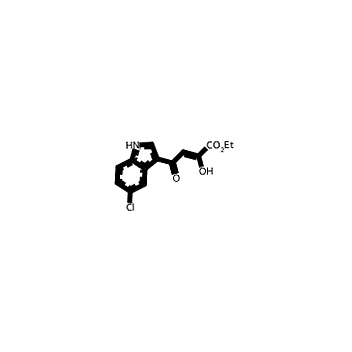 CCOC(=O)C(O)=CC(=O)c1c[nH]c2ccc(Cl)cc12